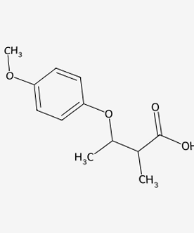 COc1ccc(OC(C)C(C)C(=O)O)cc1